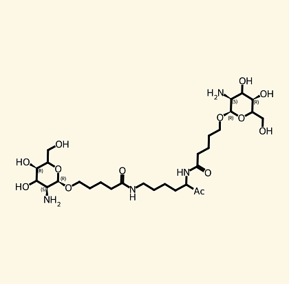 CC(=O)C(CCCCNC(=O)CCCCO[C@@H]1OC(CO)[C@H](O)C(O)[C@@H]1N)NC(=O)CCCCO[C@@H]1OC(CO)[C@H](O)C(O)[C@@H]1N